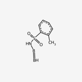 B=BNS(=O)(=O)c1ccccc1C